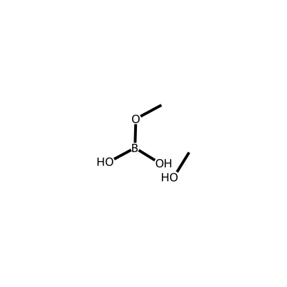 CO.COB(O)O